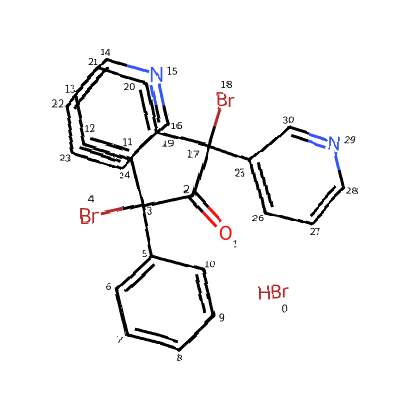 Br.O=C(C(Br)(c1ccccc1)c1cccnc1)C(Br)(c1ccccc1)c1cccnc1